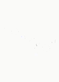 O=C(/C=C/c1ccc(Cl)cc1)C[S+]([O-])/C=C\c1ccc(Cl)cc1